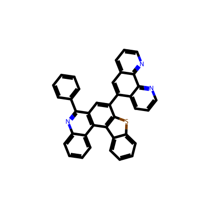 c1ccc(-c2nc3ccccc3c3c2cc(-c2cc4cccnc4c4ncccc24)c2sc4ccccc4c23)cc1